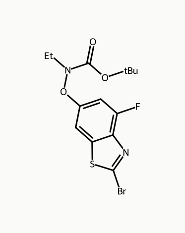 CCN(Oc1cc(F)c2nc(Br)sc2c1)C(=O)OC(C)(C)C